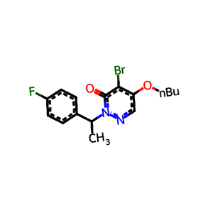 CCCCOc1cnn(C(C)c2ccc(F)cc2)c(=O)c1Br